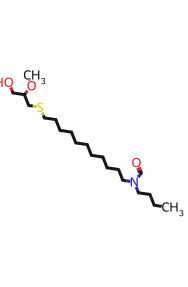 CCCCN(C=O)CCCCCCCCCCCSCC(CO)OC